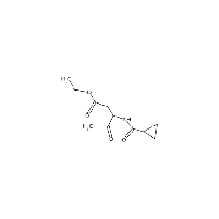 CCOC(=O)CC(NC(=O)C1CC1)C(C)=O